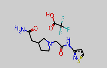 NC(=O)CC1CCN(CC(=O)Nc2ccsn2)C1.O=C(O)C(F)(F)F